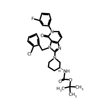 CC(C)(C)OC(=O)N[C@@H]1CCCN(c2nc3ccn(-c4cccc(F)c4)c(=O)c3n2Cc2ccccc2Cl)C1